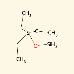 CC[Si](CC)(CC)O[SiH3]